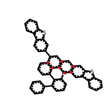 c1ccc(-c2ccccc2-c2c(-c3ccccc3)cccc2N(c2ccc(-c3ccc4c(c3)sc3ccccc34)cc2)c2ccc3sc4ccccc4c3c2)cc1